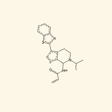 C=CC(=O)NC1c2scc(-c3nc4ccccc4s3)c2CCN1C(C)C